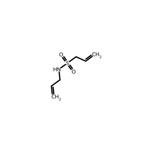 C=CCNS(=O)(=O)CC=C